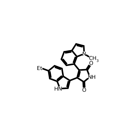 CCc1ccc2c(C3=C(c4cccc5ccn(C)c45)C(=O)NC3=O)c[nH]c2c1